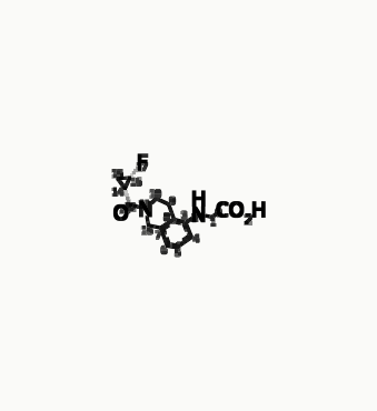 O=C(O)CNc1cccc2c1CCN(C(=O)[C@@H]1C[C@@H]1F)C2